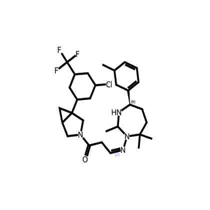 CC1C=CC=C([C@H]2CCC(C)(C)N(/N=C\CC(=O)N3CC4CC4(C4CC(Cl)CC(C(F)(F)F)C4)C3)C(C)N2)C1